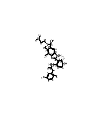 Cc1ccc(F)cc1CC(C)Nc1cc[nH]c(=O)c1-c1nc2c(C)c3c(cc2[nH]1)C(=O)N(CCN(C)C)C3